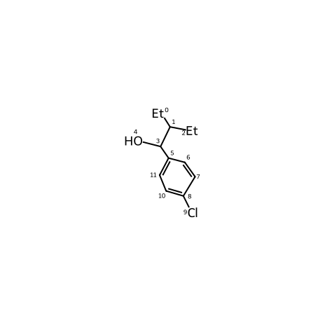 CCC(CC)C(O)c1ccc(Cl)cc1